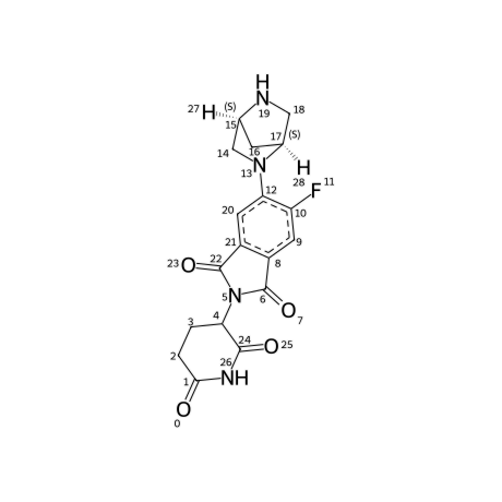 O=C1CCC(N2C(=O)c3cc(F)c(N4C[C@@H]5C[C@H]4CN5)cc3C2=O)C(=O)N1